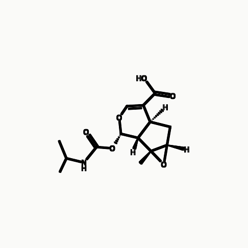 CC(C)NC(=O)O[C@@H]1OC=C(C(=O)O)[C@H]2C[C@@H]3O[C@]3(C)[C@H]12